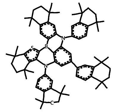 CC1(C)CCC(C)(C)c2cc(-c3cc4c5c(c3)N(c3ccc6c(c3)C(C)(C)CCC6(C)C)c3c(sc6c3C(C)(C)CCC6(C)C)B5c3cc5c(cc3N4c3ccc4c(c3)C(C)(C)CCC4(C)C)C(C)(C)CCC5(C)C)ccc21